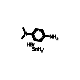 Br.CN(C)c1ccc(N)cc1.[SnH2]